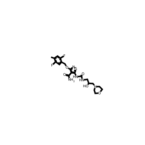 Cc1cc(F)c(COc2nsc(NC(=O)NCC(O)CN3CCOCC3)c2C(N)=O)cc1F